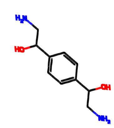 NCC(O)c1ccc(C(O)CN)cc1